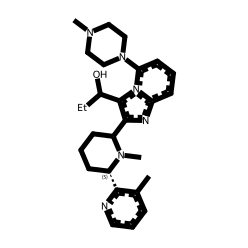 CCC(O)c1c(C2CCC[C@@H](c3ncccc3C)N2C)nc2cccc(N3CCN(C)CC3)n12